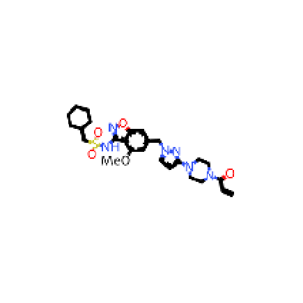 C=CC(=O)N1CCN(c2ccn(Cc3cc(OC)c4c(NS(=O)(=O)CC5CCCCC5)noc4c3)n2)CC1